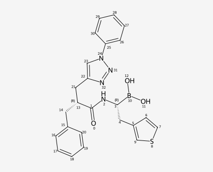 O=C(N[C@@H](Cc1ccsc1)B(O)O)[C@H](Cc1ccccc1)Cc1cn(-c2ccccc2)nn1